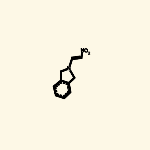 O=[N+]([O-])C=CN1Cc2ccccc2C1